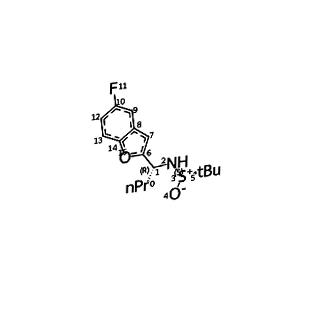 CCC[C@@H](N[S@+]([O-])C(C)(C)C)c1cc2cc(F)ccc2o1